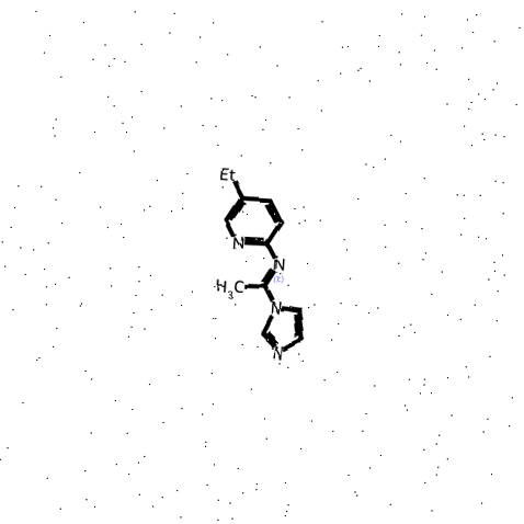 CCc1ccc(/N=C(\C)n2ccnc2)nc1